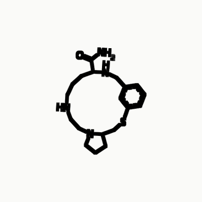 NC(=O)C1CCCNCCN2CCCC2CSc2cccc(c2)CN1